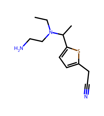 CCN(CCN)C(C)c1ccc(CC#N)s1